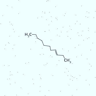 CC[CH]CCCC/C=C/CC